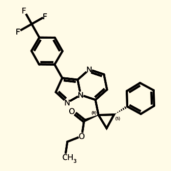 CCOC(=O)[C@]1(c2ccnc3c(-c4ccc(C(F)(F)F)cc4)cnn23)C[C@H]1c1ccccc1